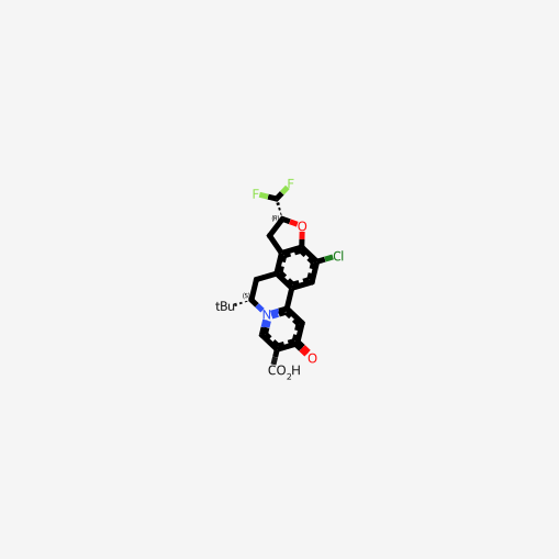 CC(C)(C)[C@@H]1Cc2c(cc(Cl)c3c2C[C@H](C(F)F)O3)-c2cc(=O)c(C(=O)O)cn21